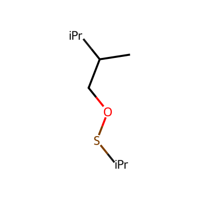 CC(C)SOCC(C)C(C)C